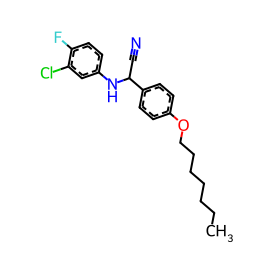 CCCCCCCOc1ccc(C(C#N)Nc2ccc(F)c(Cl)c2)cc1